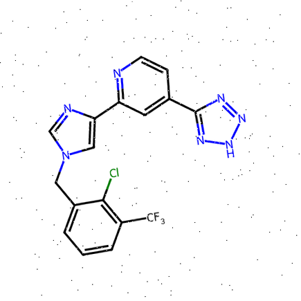 FC(F)(F)c1cccc(Cn2cnc(-c3cc(-c4nn[nH]n4)ccn3)c2)c1Cl